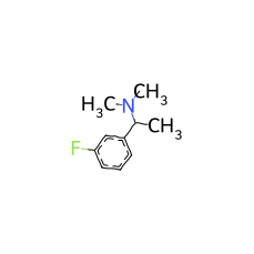 CC(c1cccc(F)c1)N(C)C